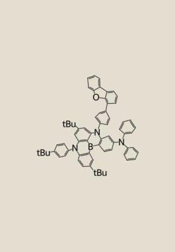 CC(C)(C)c1ccc(N2c3ccc(C(C)(C)C)cc3B3c4ccc(N(c5ccccc5)c5ccccc5)cc4N(c4ccc(-c5cccc6c5oc5ccccc56)cc4)c4cc(C(C)(C)C)cc2c43)cc1